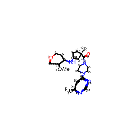 COC1COCCC1N[C@@H]1CC[C@@](C(=O)N2CCN(c3cc(C(F)(F)F)ncn3)CC2)(C(C)C)C1